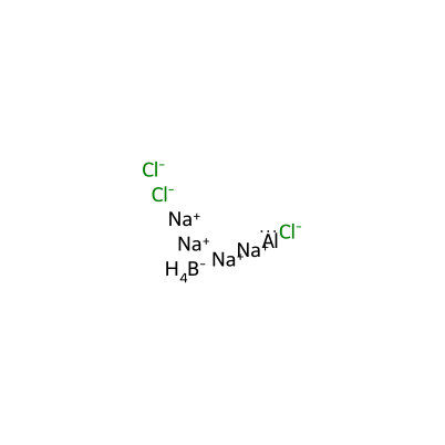 [Al].[BH4-].[Cl-].[Cl-].[Cl-].[Na+].[Na+].[Na+].[Na+]